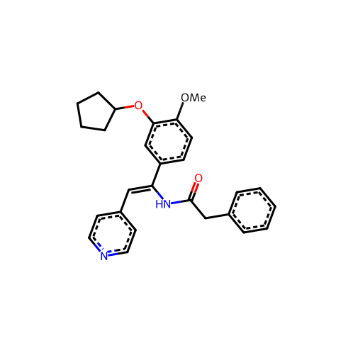 COc1ccc(C(=Cc2ccncc2)NC(=O)Cc2ccccc2)cc1OC1CCCC1